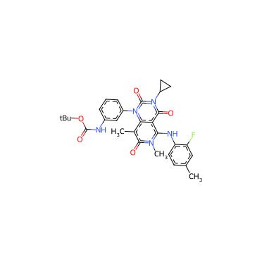 Cc1ccc(Nc2c3c(=O)n(C4CC4)c(=O)n(-c4cccc(NC(=O)OC(C)(C)C)c4)c3c(C)c(=O)n2C)c(F)c1